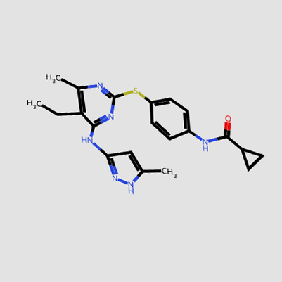 CCc1c(C)nc(Sc2ccc(NC(=O)C3CC3)cc2)nc1Nc1cc(C)[nH]n1